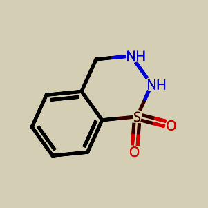 O=S1(=O)NNCc2ccccc21